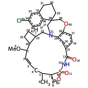 COC1C=CCC(C)[C@H](C(C)C)S(=O)(=O)NC(=O)c2ccc3c(c2)N(C[C@@H]2CCC12)CC1(CCCc2cc(Cl)ccc21)CO3